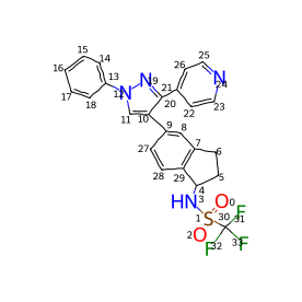 O=S(=O)(NC1CCc2cc(-c3cn(-c4ccccc4)nc3-c3ccncc3)ccc21)C(F)(F)F